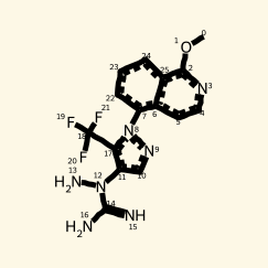 COc1nccc2c(-n3ncc(N(N)C(=N)N)c3C(F)(F)F)cccc12